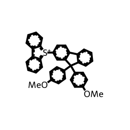 COc1ccc(C2(c3ccc(OC)cc3)c3ccccc3-c3ccc(-[s+]4c5ccccc5c5ccccc54)cc32)cc1